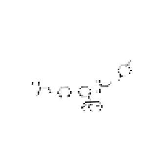 CN1CCN(CCCC(=O)Oc2ccc(-c3ccc(/C=C/C(=O)O)cc3)cc2C23CC4CC(CC(C4)C2)C3)CC1